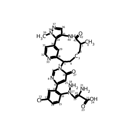 CC1CCCC(n2cnc(-c3cc(Cl)ccc3N(N)/C=C(\N)C(=O)O)cc2=O)c2cc(ccn2)-c2c(cnn2C)NC1=O